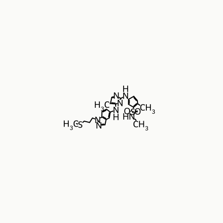 CCNS(=O)(=O)c1cc(Nc2ncc(C)c(Nc3ccc4c(cnn4CCCSC)c3)n2)ccc1C